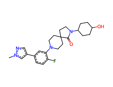 Cn1cc(-c2ccc(F)c(N3CCC4(CC3)CCN(C3CCC(O)CC3)C4=O)c2)cn1